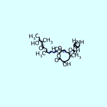 CC[C@H](O)[C@@H](C)[C@H]1O[C@@H]1C[C@H](C)/C=C/C=C(\C)[C@H]1OC(=O)C[C@H](O)CC[C@H](C)[C@@H](OC(=O)N2C[C@H]3C[C@@H]2CN3)/C=C/[C@@H]1C